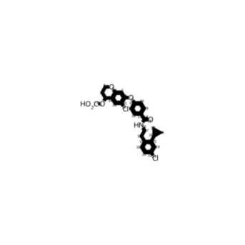 O=C(O)OC1CCOc2cc(Oc3ccc(C(=O)NCCc4ccc(Cl)cc4C4CC4)cc3)c(Cl)cc21